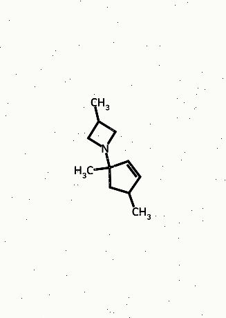 CC1C=CC(C)(N2CC(C)C2)C1